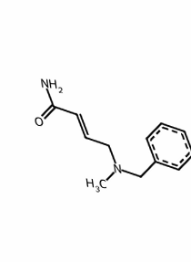 CN(CC=CC(N)=O)Cc1ccccc1